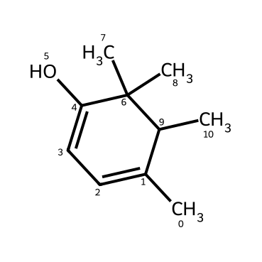 CC1=CC=C(O)C(C)(C)C1C